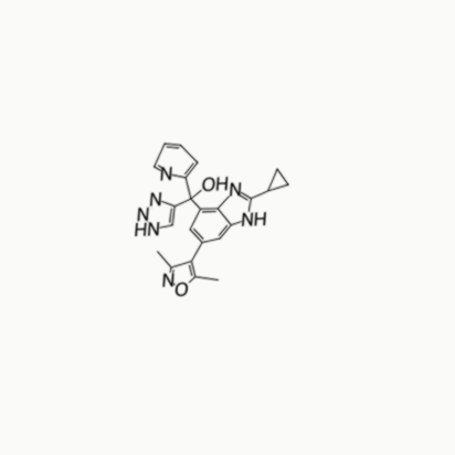 Cc1noc(C)c1-c1cc(C(O)(c2ccccn2)c2c[nH]nn2)c2nc(C3CC3)[nH]c2c1